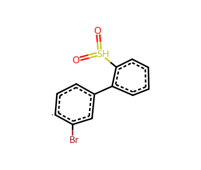 O=[SH](=O)c1ccccc1-c1cc[c]c(Br)c1